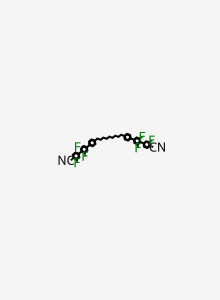 N#Cc1ccc(-c2c(F)cc(-c3ccc(CCCCCCCCCc4ccc(-c5cc(F)c(-c6ccc(C#N)c(F)c6)c(F)c5)cc4)cc3)cc2F)cc1F